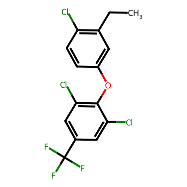 CCc1cc(Oc2c(Cl)cc(C(F)(F)F)cc2Cl)ccc1Cl